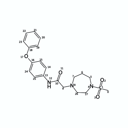 CS(=O)(=O)N1CCCN(CC(=O)Nc2ccc(Oc3ccccc3)cc2)CC1